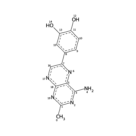 Cc1nc(N)c2nc(-c3ccc(O)c(O)c3)cnc2n1